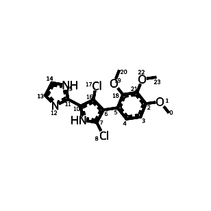 COc1ccc(-c2c(Cl)[nH]c(-c3ncc[nH]3)c2Cl)c(OC)c1OC